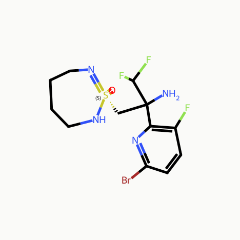 NC(C[S@@]1(=O)=NCCCCN1)(c1nc(Br)ccc1F)C(F)F